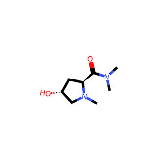 CN(C)C(=O)[C@@H]1C[C@@H](O)CN1C